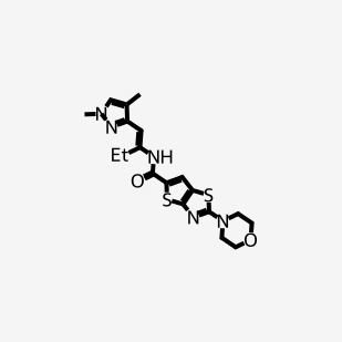 CC/C(=C\c1nn(C)cc1C)NC(=O)c1cc2sc(N3CCOCC3)nc2s1